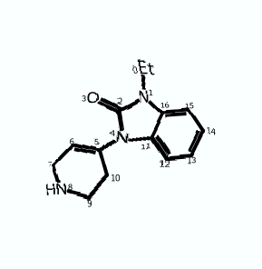 CCn1c(=O)n(C2=CCNCC2)c2ccccc21